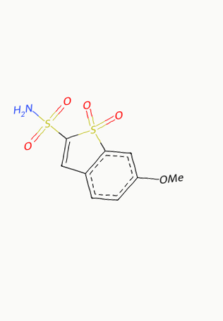 COc1ccc2c(c1)S(=O)(=O)C(S(N)(=O)=O)=C2